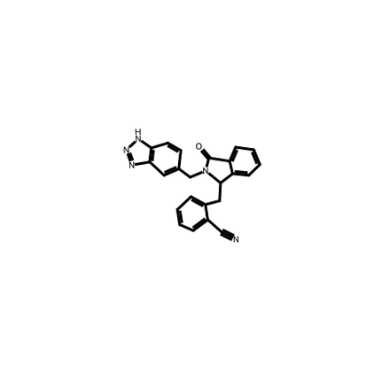 N#Cc1ccccc1CC1c2ccccc2C(=O)N1Cc1ccc2[nH]nnc2c1